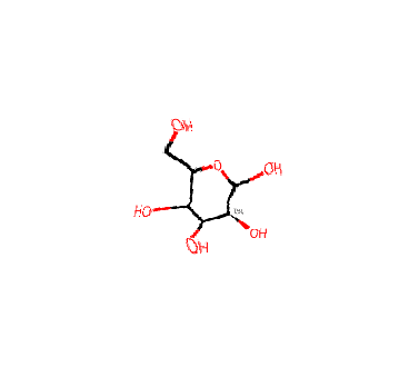 OCC1OC(O)[C@@H](O)C(O)C1O